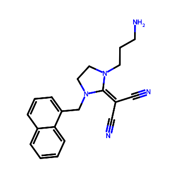 N#CC(C#N)=C1N(CCCN)CCN1Cc1cccc2ccccc12